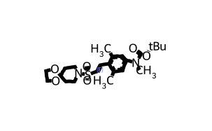 Cc1cc(N(C)C(=O)OC(C)(C)C)cc(C)c1/C=C/S(=O)(=O)N1CCC2(CC1)OCCO2